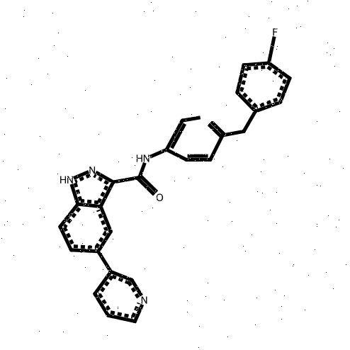 C=C(/C=C\C(=C/C)NC(=O)c1n[nH]c2ccc(-c3cccnc3)cc12)Cc1ccc(F)cc1